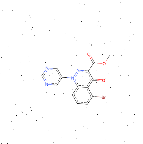 COC(=O)c1nn(-c2cncnc2)c2cccc(Br)c2c1=O